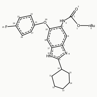 CCCCOC(=O)Nc1cc2nc(C3CCCCC3)[nH]c2cc1Oc1ccc(F)cc1